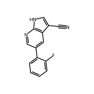 N#Cc1c[nH]c2ncc(-c3ccccc3F)cc12